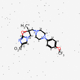 C[C@@]1(CN2CCN(c3ccc(OC(F)(F)F)cc3)CC2)Cn2cc([N+](=O)[O-])nc2O1